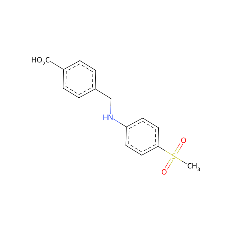 CS(=O)(=O)c1ccc(NCc2ccc(C(=O)O)cc2)cc1